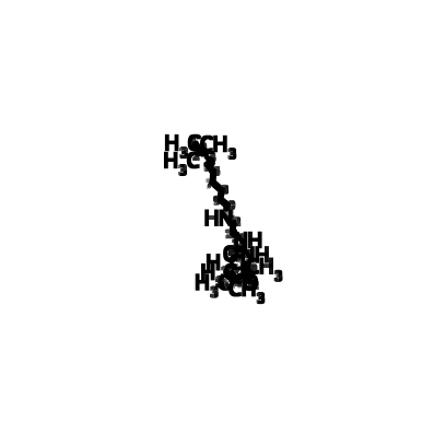 CC(C)(C)SCCCCCCNCCNC(=O)NC(C)(C)C(=O)C(C)(C)C